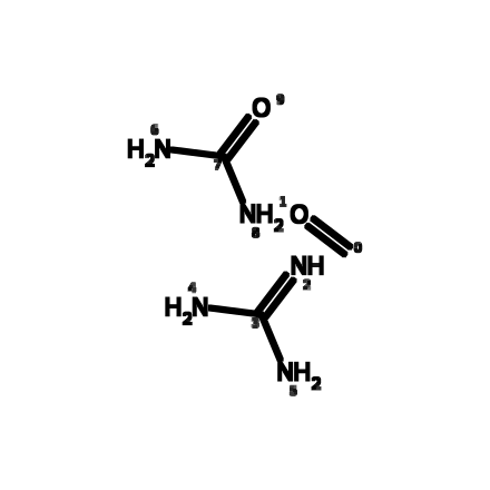 C=O.N=C(N)N.NC(N)=O